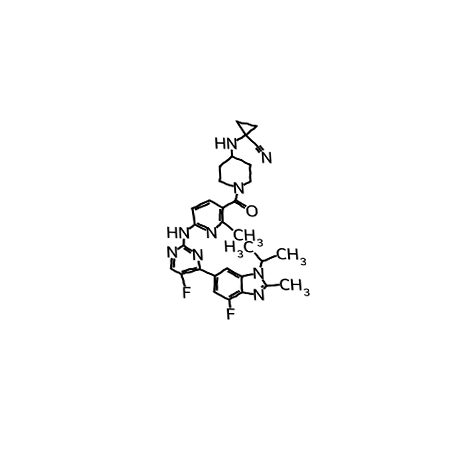 Cc1nc(Nc2ncc(F)c(-c3cc(F)c4nc(C)n(C(C)C)c4c3)n2)ccc1C(=O)N1CCC(NC2(C#N)CC2)CC1